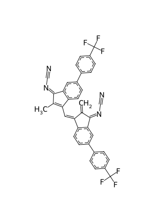 C=C1/C(=C\C2=C(C)C(=N/C#N)/c3cc(-c4ccc(C(F)(F)F)cc4)ccc32)c2ccc(-c3ccc(C(F)(F)F)cc3)cc2/C1=N/C#N